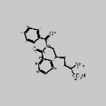 N[C@H](CCCCN(C(=O)c1ccccc1)C(=O)c1ccccc1)C(=O)O